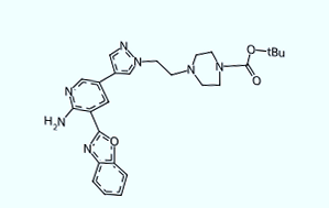 CC(C)(C)OC(=O)N1CCN(CCn2cc(-c3cnc(N)c(-c4nc5ccccc5o4)c3)cn2)CC1